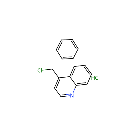 Cl.ClCc1ccnc2ccccc12.c1ccccc1